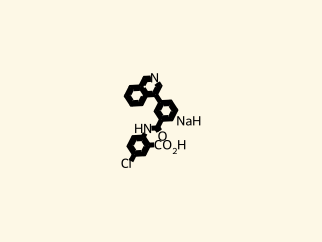 O=C(Nc1ccc(Cl)cc1C(=O)O)c1cccc(-c2cncc3ccccc23)c1.[NaH]